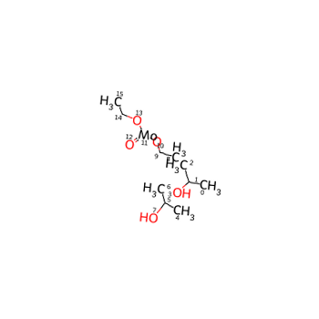 CC(C)O.CC(C)O.CC[O][Mo](=[O])[O]CC